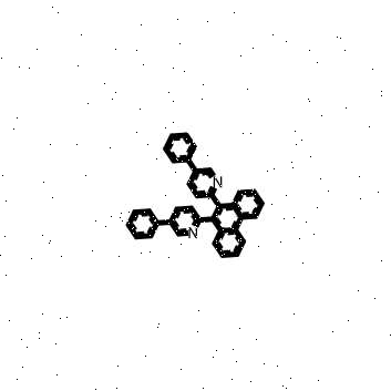 c1ccc(-c2ccc(-c3c(-c4ccc(-c5ccccc5)cn4)c4ccccc4c4ccccc34)nc2)cc1